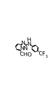 O=Cc1cccc2nc(Nc3ccc(C(F)(F)F)cc3)nn12